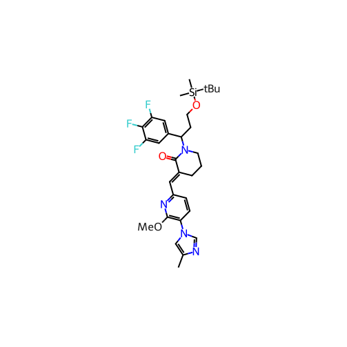 COc1nc(/C=C2\CCCN(C(CCO[Si](C)(C)C(C)(C)C)c3cc(F)c(F)c(F)c3)C2=O)ccc1-n1cnc(C)c1